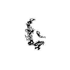 CCC(CC)c1nnc2ccc(O[C@@H]3CC[C@H](NC(=O)Nc4cc(C(C)(C)C)nc(C(=O)NCC(C)(C)N5CC(OC)C5)n4)c4ccccc43)cn12.O=CO